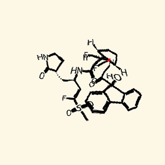 CS(=O)(=O)/C(F)=C/[C@@H](C[C@H]1CCNC1=O)NC(=O)[C@H]1[C@@H]2CC[C@@H](CC2(F)F)N1C(=O)C1(O)c2ccccc2-c2ccccc21